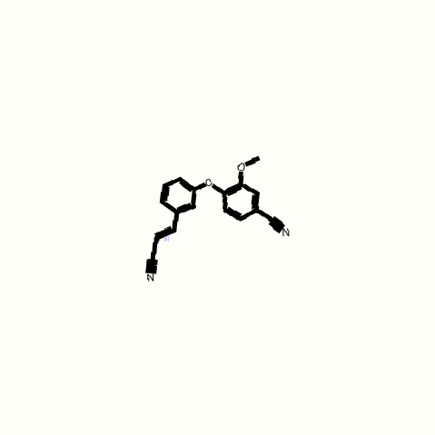 COc1cc(C#N)ccc1Oc1cccc(/C=C/C#N)c1